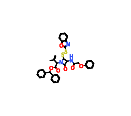 C=C(C)C(C(=O)OC(c1ccccc1)c1ccccc1)N1C(=O)C(NC(=O)COc2ccccc2)C1SSc1nc2ccccc2o1